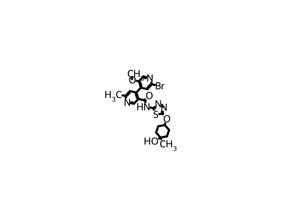 COc1cnc(Br)cc1-c1cc(C)ncc1C(=O)Nc1nnc(OC2CCC(C)(O)CC2)s1